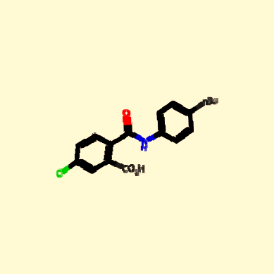 CCCCc1ccc(NC(=O)c2ccc(Cl)cc2C(=O)O)cc1